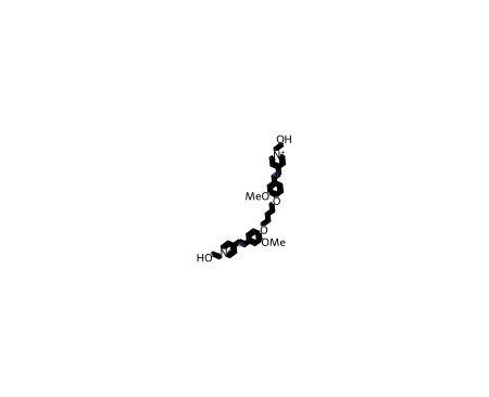 COc1cc(/C=C/c2cc[n+](CCO)cc2)ccc1OCCCCCOc1ccc(/C=C/c2cc[n+](CCO)cc2)cc1OC